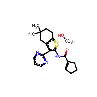 CC1(C)CCc2sc(NC(=O)C3=CCCC3)c(-c3ncccn3)c2C1.O=C(O)O